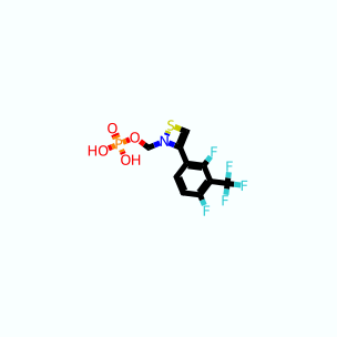 O=P(O)(O)OCn1scc1-c1ccc(F)c(C(F)(F)F)c1F